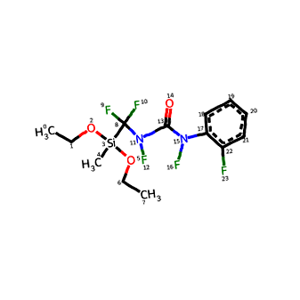 CCO[Si](C)(OCC)C(F)(F)N(F)C(=O)N(F)c1ccccc1F